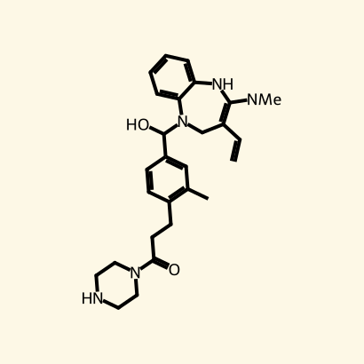 C=CC1=C(NC)Nc2ccccc2N(C(O)c2ccc(CCC(=O)N3CCNCC3)c(C)c2)C1